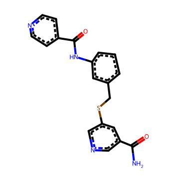 NC(=O)c1cncc(SCc2cccc(NC(=O)c3ccncc3)c2)c1